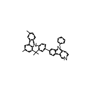 Cc1ccc2c(c1)c1cc(C)cc3c1n2-c1ccc(-c2ccc4c5cnccc5n(-c5ccccc5)c4c2)cc1C3(C)C